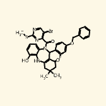 CSc1ncc(Br)c(C(=O)N2c3cccc(O)c3NC3=C(C(=O)CC(C)(C)C3)C2c2ccc(OCc3ccccc3)cc2F)n1